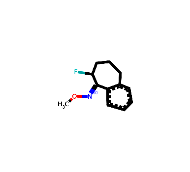 CO/N=C1/c2ccccc2CCCC1F